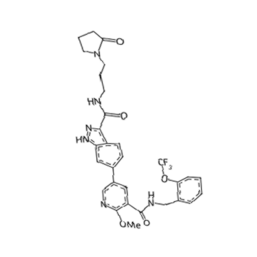 COc1ncc(-c2ccc3c(C(=O)NCCCN4CCCC4=O)n[nH]c3c2)cc1C(=O)NCc1ccccc1OC(F)(F)F